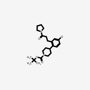 CC(C)(C)OC(=O)N1CCC(c2ccc(Cl)cc2CCC(=O)N2CCCC2)CC1